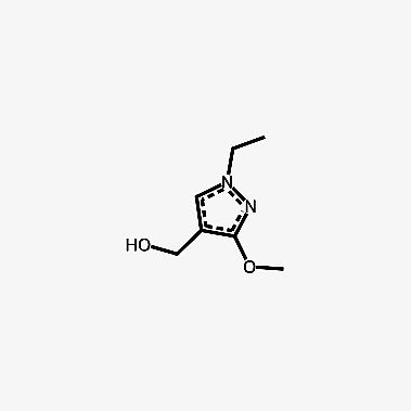 CCn1cc(CO)c(OC)n1